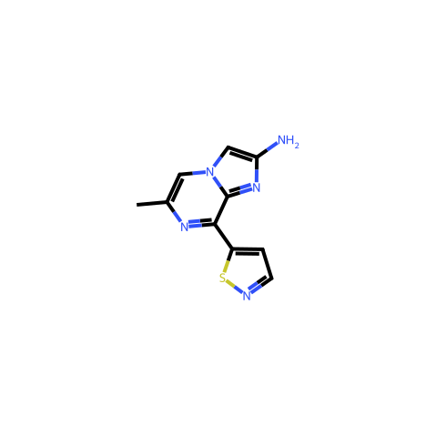 Cc1cn2cc(N)nc2c(-c2ccns2)n1